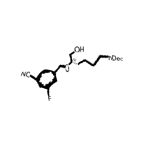 CCCCCCCCCCCCCC[C@@H](CO)OCc1cc(F)cc(C#N)c1